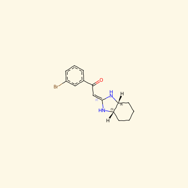 O=C(/C=C1/N[C@H]2CCCC[C@H]2N1)c1cccc(Br)c1